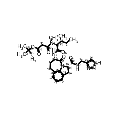 CC[C@H](C)[C@@H](C(=O)N[C@H]1CCc2cccc3c2N(C1=O)[C@H](C(=O)NCc1c[nH]nn1)C3)N(C)C(=O)CC(=O)OC(C)(C)C